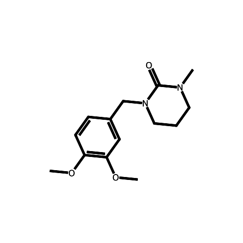 COc1ccc(CN2CCCN(C)C2=O)cc1OC